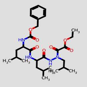 CCOC(=O)C(=O)N(CC(C)C)NC(=O)C(CC(C)C)NC(=O)C(CC(C)C)NC(=O)OCc1ccccc1